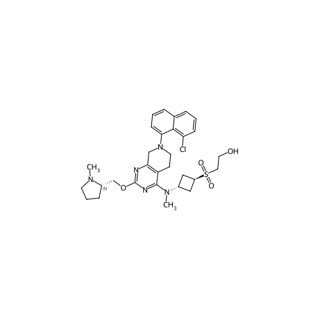 CN1CCC[C@H]1COc1nc2c(c(N(C)[C@H]3C[C@H](S(=O)(=O)CCO)C3)n1)CCN(c1cccc3cccc(Cl)c13)C2